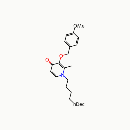 CCCCCCCCCCCCCCn1ccc(=O)c(OCc2ccc(OC)cc2)c1C